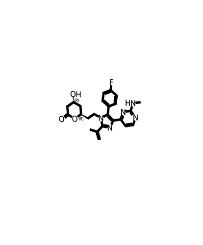 C=C(C)c1nc(-c2ccnc(NC)n2)c(-c2ccc(F)cc2)n1CC[C@@H]1C[C@@H](O)CC(=O)O1